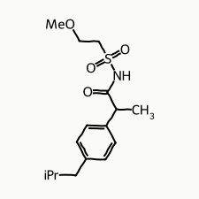 COCCS(=O)(=O)NC(=O)C(C)c1ccc(CC(C)C)cc1